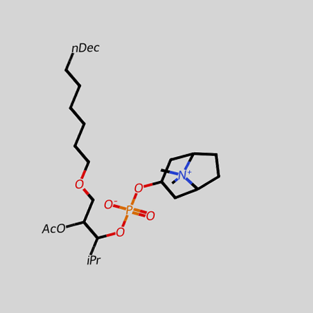 CCCCCCCCCCCCCCCCOCC(OC(C)=O)C(OP(=O)([O-])OC1CC2CCC(C1)[N+]2(C)C)C(C)C